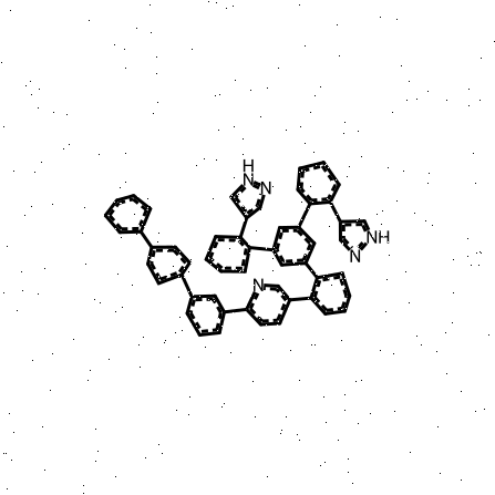 c1ccc(-c2ccc(-c3cccc(-c4ccc(-c5ccccc5-c5cc(-c6ccccc6-c6cn[nH]c6)cc(-c6ccccc6-c6cn[nH]c6)c5)cn4)c3)cc2)cc1